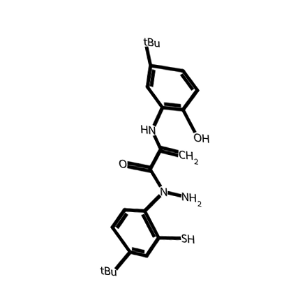 C=C(Nc1cc(C(C)(C)C)ccc1O)C(=O)N(N)c1ccc(C(C)(C)C)cc1S